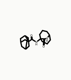 O=C(NC12CCCC(CCC1)NC2=O)C12CC3CC(CC(C3)C1)C2